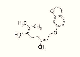 CC(=CCOc1ccc2c(c1)OCC2)CCC(C)=C(C)C